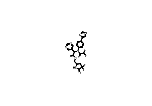 O=C(NCC1CC(F)(F)C(=O)N1)C(c1cncnc1)N(C(=O)C(F)Cl)c1ccc(-c2cnco2)cc1